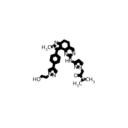 CN(C)C(=O)Cn1ccc(Nc2ncc3c(n2)-c2c(nn(C)c2-c2ccc(-c4cnn(CCO)c4)cc2)CC3)n1